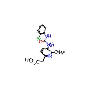 COc1nc(CC(=O)O)ccc1NC(=O)Nc1ccccc1Br